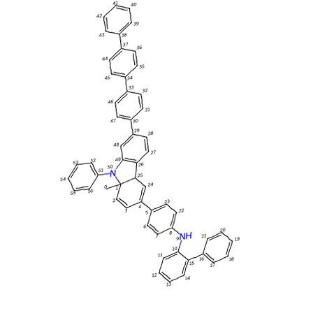 CC12C=CC(c3ccc(Nc4ccccc4-c4ccccc4)cc3)=CC1c1ccc(-c3ccc(-c4ccc(-c5ccccc5)cc4)cc3)cc1N2c1ccccc1